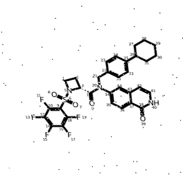 O=C([C@H]1CCN1S(=O)(=O)c1c(F)c(F)c(F)c(F)c1F)N(Cc1ccc(C2CCCCC2)cc1)c1ccc2c(=O)[nH]ccc2c1